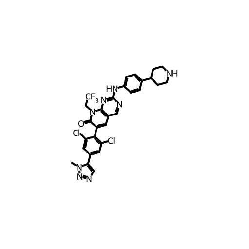 Cn1nncc1-c1cc(Cl)c(-c2cc3cnc(Nc4ccc(C5CCNCC5)cc4)nc3n(CC(F)(F)F)c2=O)c(Cl)c1